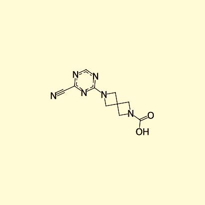 N#Cc1ncnc(N2CC3(CN(C(=O)O)C3)C2)n1